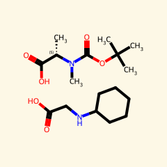 C[C@@H](C(=O)O)N(C)C(=O)OC(C)(C)C.O=C(O)CNC1CCCCC1